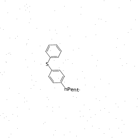 [CH2]CCC[CH]c1ccc(Sc2ccccc2)cc1